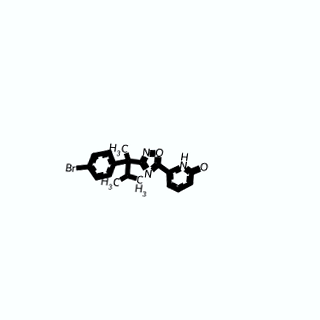 CC(C)C(C)(c1ccc(Br)cc1)c1noc(-c2cccc(=O)[nH]2)n1